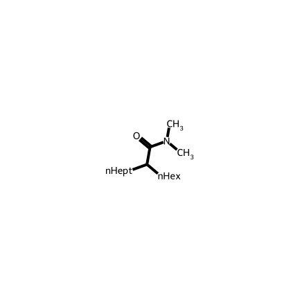 CCCCCCCC(CCCCCC)C(=O)N(C)C